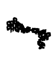 COC(=O)N[C@H](C(=O)N1CCC[C@H]1c1ncc(-c2ccc(-c3ccc(-c4cnc([C@H]5C6CCC(C6)[C@@H]5C(=O)NCc5ccc(C(C)C)nc5)[nH]4)cc3)cc2)[nH]1)[C@@H](C)OC